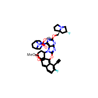 C#Cc1c(F)ccc2cc(OCOC)cc(Oc3nc4nc(OC[C@@]56CCCN5C[C@H](F)C6)nc(N5CC6CCC(C5)N6C(=O)OC(C)(C)C)c4n3C3CCOCC3)c12